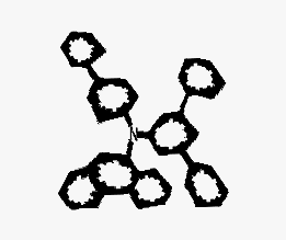 c1ccc(-c2ccc(N(c3cc(-c4ccccc4)cc(-c4ccccc4)c3)c3cc4ccccc4c4ccccc34)cc2)cc1